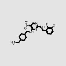 NCC1CCC(CNc2nc(NCc3cccc(Cl)c3F)ncc2[N+](=O)[O-])CC1